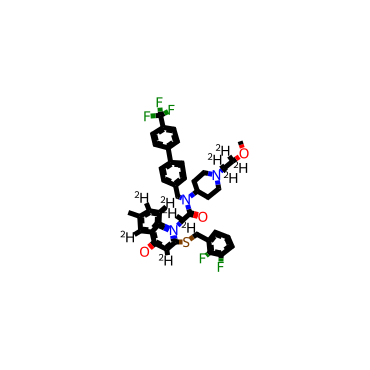 [2H]c1c(C)c([2H])c2c(=O)c([2H])c(SCc3cccc(F)c3F)n(C([2H])([2H])C(=O)N(Cc3ccc(-c4ccc(C(F)(F)F)cc4)cc3)C3CCN(C([2H])([2H])C([2H])([2H])OC)CC3)c2c1[2H]